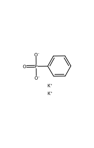 O=P([O-])([O-])c1ccccc1.[K+].[K+]